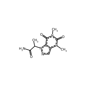 CC(C(N)=O)n1ncc2c1c(=O)n(C)c(=O)n2C